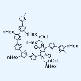 CCCCCCCCC(CCCCCC)CN1C(=O)C2=C(c3ccc(-c4cc(CCCCCC)c(-c5ccc(-c6cc(CCCCCC)c(-c7sc(-c8ccc(C)s8)cc7CCCCCC)s6)s5)s4)s3)N(CC(CCCCCC)CCCCCCCC)C(=O)C2=C1c1ccc(-c2cc(CCCCCC)c(C)s2)s1